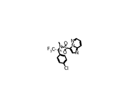 CN([C@H](c1ccc(Cl)cc1)C(F)(F)F)S(=O)(=O)c1cnc2cccnn12